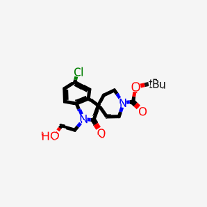 CC(C)(C)OC(=O)N1CCC2(CC1)C(=O)N(CCO)c1ccc(Cl)cc12